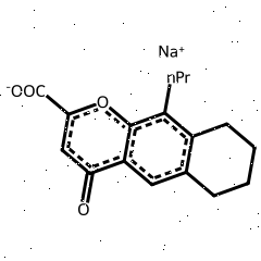 CCCc1c2c(cc3c(=O)cc(C(=O)[O-])oc13)CCCC2.[Na+]